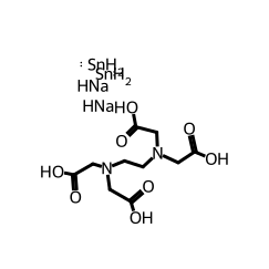 O=C(O)CN(CCN(CC(=O)O)CC(=O)O)CC(=O)O.[NaH].[NaH].[SnH2].[SnH2]